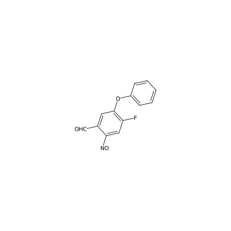 O=Cc1cc(Oc2ccccc2)c(F)cc1N=O